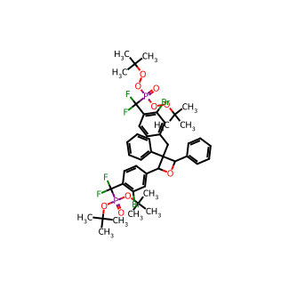 CC(C)(C)OOP(=O)(OOC(C)(C)C)C(F)(F)c1ccc(CC2(c3ccccc3)C(c3ccccc3)OC2c2ccc(C(F)(F)P(=O)(OC(C)(C)C)OC(C)(C)C)c(Br)c2)cc1Br